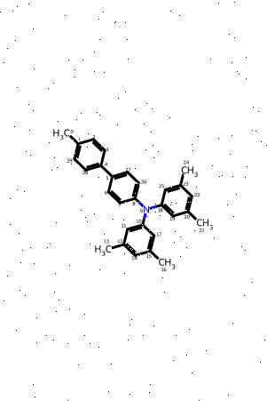 Cc1ccc(-c2ccc(N(c3cc(C)cc(C)c3)c3cc(C)cc(C)c3)cc2)cc1